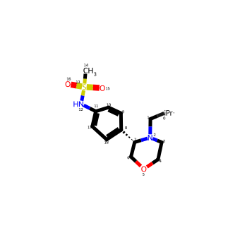 C[C](C)CN1CCOC[C@@H]1c1ccc(NS(C)(=O)=O)cc1